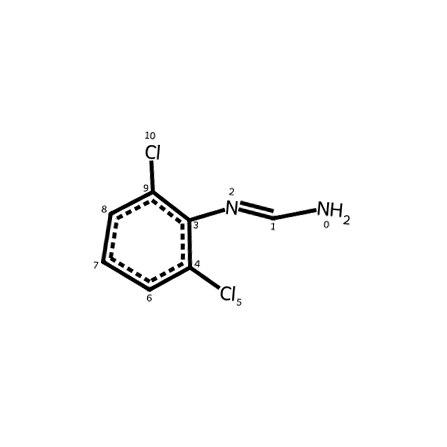 NC=Nc1c(Cl)cccc1Cl